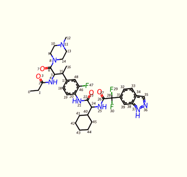 CCC(=O)NC(C(=O)N1CCN(C)CC1)C(C)c1ccc(NC(=O)C(NC(=O)C(F)(F)c2ccc3cn[nH]c3c2)C2CCCCC2)c(F)c1